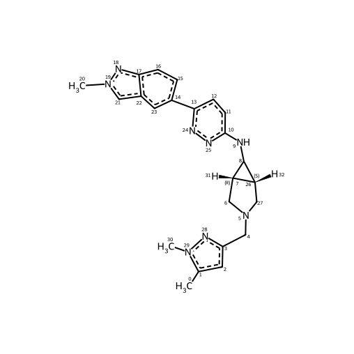 Cc1cc(CN2C[C@@H]3C(Nc4ccc(-c5ccc6nn(C)cc6c5)nn4)[C@@H]3C2)nn1C